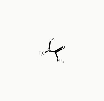 CCCN(C(N)=O)C(F)(F)F